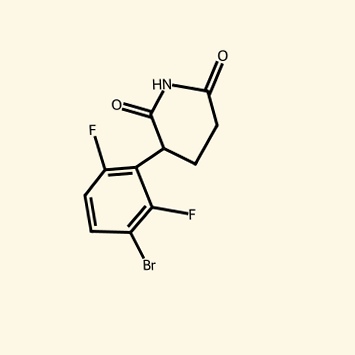 O=C1CCC(c2c(F)ccc(Br)c2F)C(=O)N1